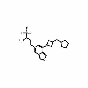 OC(CCc1cc(N2CC(CN3CCCC3)C2)c2nonc2c1)C(F)(F)F